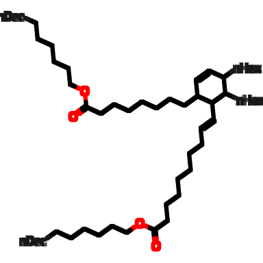 CCCCCCCCCCCCCCCCOC(=O)CCCCCCCC=CC1C(CCCCCCCC(=O)OCCCCCCCCCCCCCCCC)C=CC(CCCCCC)C1CCCCCC